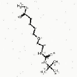 COC(=O)CCCCOCCNC(=O)OC(C)(C)C